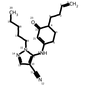 C=CCCC1CCC(Nc2c(C#N)cnn2CCCCC)=CC1=O